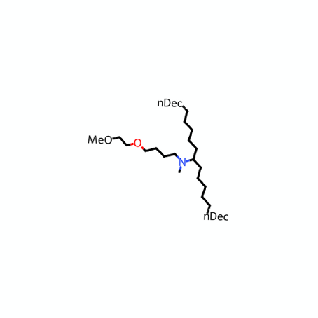 CCCCCCCCCCCCCCCC(CCCCCCCCCCCCCCC)N(C)CCCCOCCOC